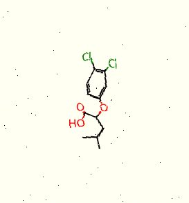 CC(C)CC(Oc1ccc(Cl)c(Cl)c1)C(=O)O